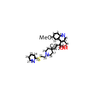 COc1ccc2ncc(CO)c([C@@H](O)CCC3(C(=O)O)CCN(CCSc4ccccn4)CC3)c2c1